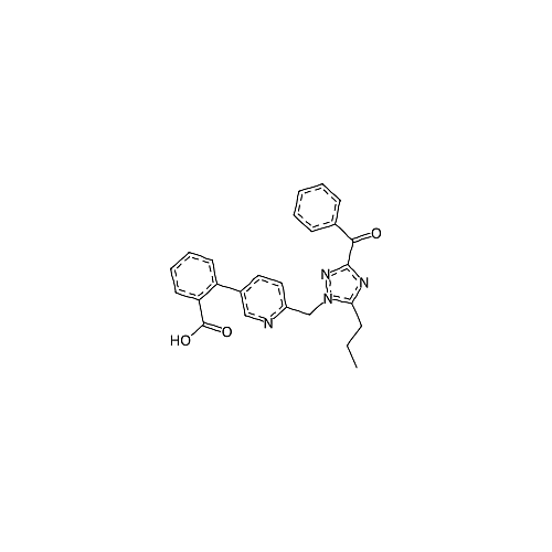 CCCc1nc(C(=O)c2ccccc2)nn1Cc1ccc(-c2ccccc2C(=O)O)cn1